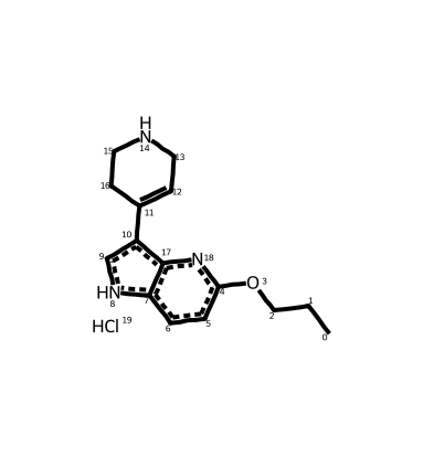 CCCOc1ccc2[nH]cc(C3=CCNCC3)c2n1.Cl